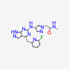 CNC(=O)Cn1cc(Nc2nc(Cc3cccc(F)n3)c3cn[nH]c3n2)cn1